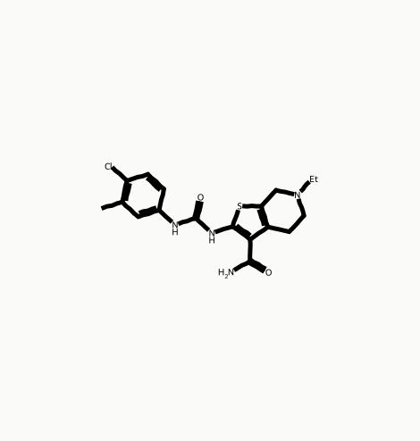 CCN1CCc2c(sc(NC(=O)Nc3ccc(Cl)c(C)c3)c2C(N)=O)C1